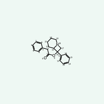 O=C(Cc1ccccc1)OC1(c2ccccc2)CN2CCCCC21